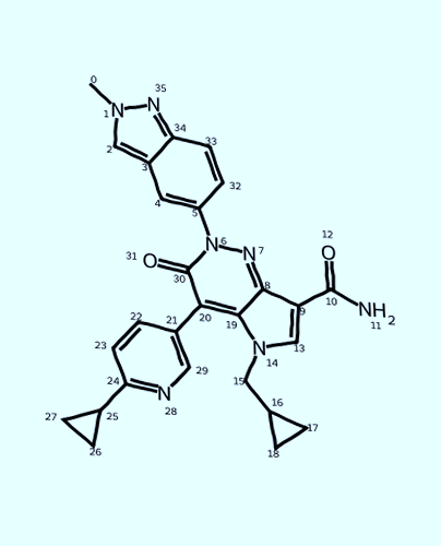 Cn1cc2cc(-n3nc4c(C(N)=O)cn(CC5CC5)c4c(-c4ccc(C5CC5)nc4)c3=O)ccc2n1